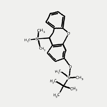 CC(C)(C)[Si](C)(C)Oc1ccc2c(c1)Oc1ccccc1C2[Si](C)(C)C